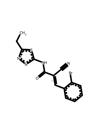 CCc1nnc(NC(=O)/C(C#N)=C/c2ccccc2Br)s1